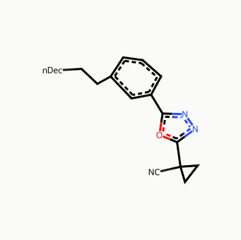 CCCCCCCCCCCCc1cccc(-c2nnc(C3(C#N)CC3)o2)c1